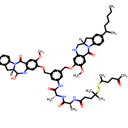 CCCCCC(C)c1ccc2c(c1)C[C@H]1CNc3cc(OCc4cc(COc5cc6c(cc5OC)C(=O)N5c7ccccc7C[C@H]5C(O)N6)cc(NC(=O)[C@@H](C)NC(=O)[C@H](C)NC(=O)CCC(C)(C)SSC(C)CCC(C)=O)c4)c(OC)cc3C(=O)N21